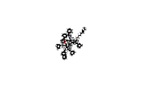 [N-]=[N+]=NCCCCCO[C@H]1OC(COCc2ccccc2)[C@@H](OCc2ccccc2)C(O[C@H]2OC(COCc3ccccc3)[C@@H](OCc3ccccc3)C(OCc3ccc4ccccc4c3)C2OC(=O)c2ccccc2)C1OC(=O)c1ccccc1